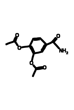 CC(=O)Oc1ccc(C(N)=O)cc1OC(C)=O